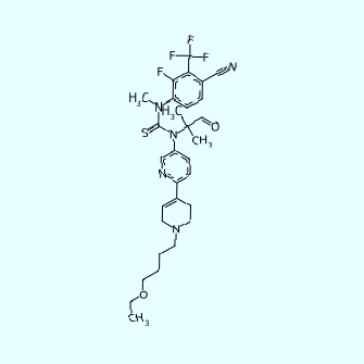 CCOCCCCN1CC=C(c2ccc(N(C(=S)N(C)c3ccc(C#N)c(C(F)(F)F)c3F)C(C)(C)C=O)cn2)CC1